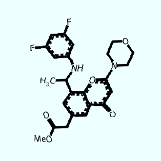 COC(=O)Cc1cc(C(C)Nc2cc(F)cc(F)c2)c2oc(N3CCOCC3)cc(=O)c2c1